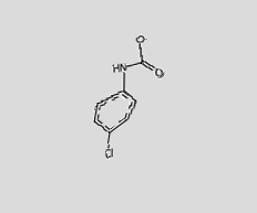 [O]C(=O)Nc1ccc(Cl)cc1